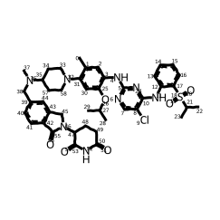 Cc1cc(Nc2ncc(Cl)c(Nc3ccccc3S(=O)(=O)C(C)C)n2)c(OC(C)C)cc1N1CCC(N(C)Cc2ccc3c(c2)CN(C2CCC(=O)NC2=O)C3=O)CC1